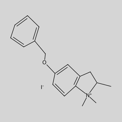 CC1Cc2cc(OCc3ccccc3)ccc2[N+]1(C)C.[I-]